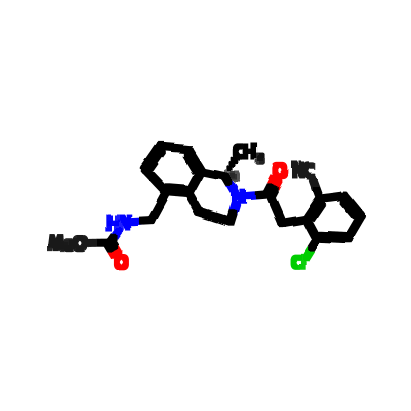 COC(=O)NCc1cccc2c1CCN(C(=O)Cc1c(Cl)cccc1C#N)[C@H]2C